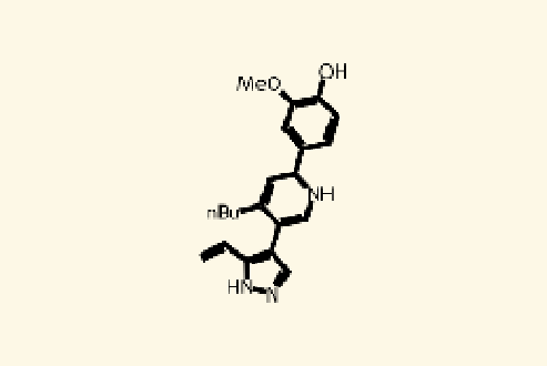 C=Cc1[nH]ncc1C1=CNC(c2ccc(O)c(OC)c2)C=C1CCCC